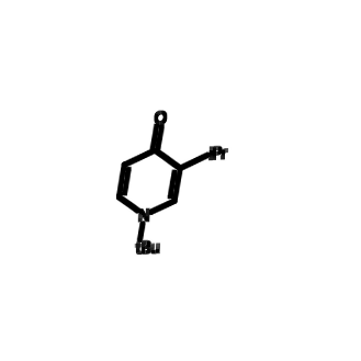 CC(C)c1cn(C(C)(C)C)ccc1=O